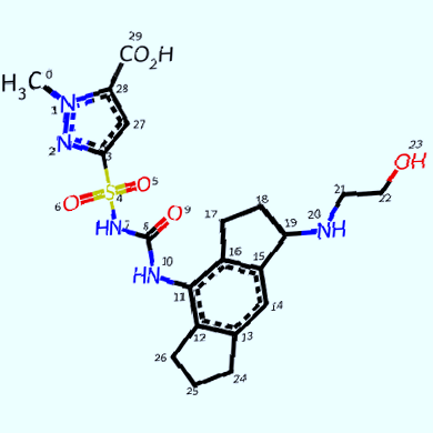 Cn1nc(S(=O)(=O)NC(=O)Nc2c3c(cc4c2CCC4NCCO)CCC3)cc1C(=O)O